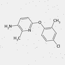 Cc1cc(Cl)ccc1Oc1ccc(N)c(C)n1